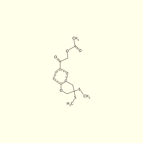 CSC1(SC)COc2ccc(C(=O)COC(C)=O)cc2C1